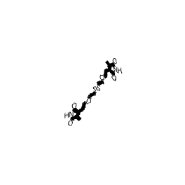 CC1=C(CCOCCSSCCOCCC2=C(C)C(=O)NC2=O)C(=O)NC1=O